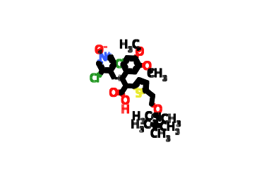 COc1ccc([C@@H](Cc2c(Cl)c[n+]([O-])cc2Cl)C(C(=O)O)c2ccc(CCO[Si](C)(C)C(C)(C)C)s2)cc1OC